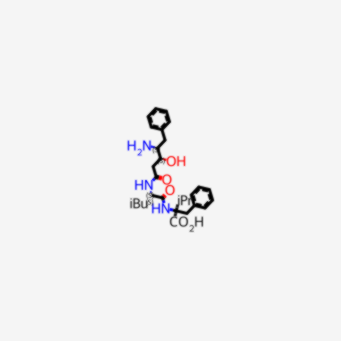 CC[C@H](C)[C@H](NC(=O)C[C@H](O)[C@@H](N)Cc1ccccc1)C(=O)NC(Cc1ccccc1)(C(=O)O)C(C)C